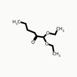 CCCCC(=O)C(OCC)OCC